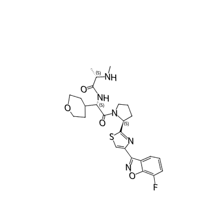 CN[C@@H](C)C(=O)N[C@H](C(=O)N1CCC[C@H]1c1nc(-c2noc3c(F)cccc23)cs1)C1CCOCC1